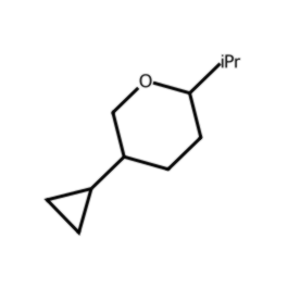 CC(C)C1CCC(C2CC2)CO1